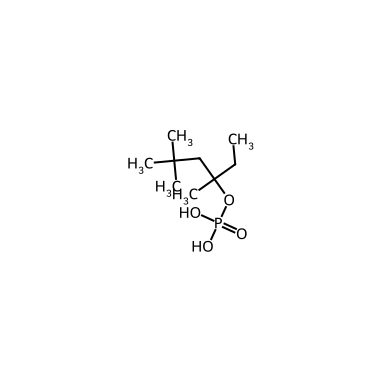 CCC(C)(CC(C)(C)C)OP(=O)(O)O